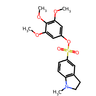 COc1cc(OS(=O)(=O)c2ccc3c(c2)CCN3C)cc(OC)c1OC